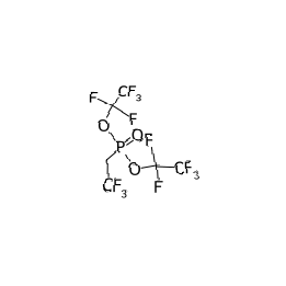 O=P(CC(F)(F)F)(OC(F)(F)C(F)(F)F)OC(F)(F)C(F)(F)F